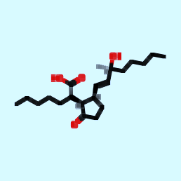 CCCCCC(C(=O)O)[C@@H]1C(=O)CC[C@@H]1C=C[C@@](C)(O)CCCCC